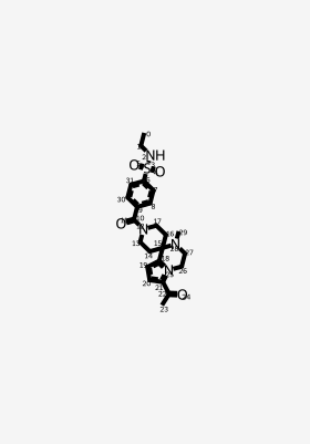 CCNS(=O)(=O)c1ccc(C(=O)N2CCC3(CC2)c2ccc(C(C)=O)n2CCN3C)cc1